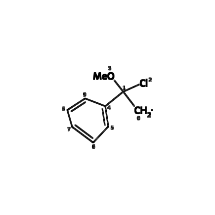 [CH2]C(Cl)(OC)c1ccccc1